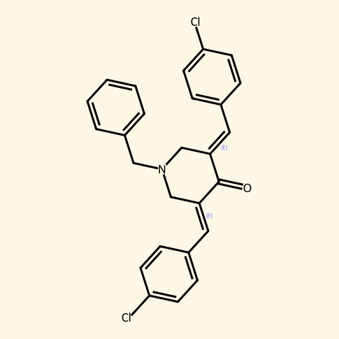 O=C1/C(=C/c2ccc(Cl)cc2)CN(Cc2ccccc2)C/C1=C\c1ccc(Cl)cc1